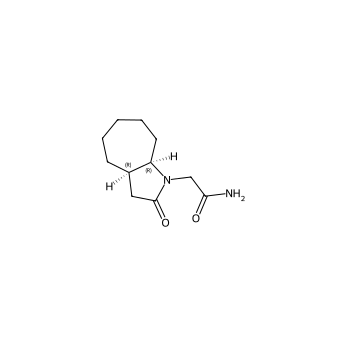 NC(=O)CN1C(=O)C[C@H]2CCCCC[C@H]21